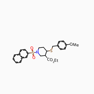 CCOC(=O)C1CN(S(=O)(=O)c2ccc3ccccc3c2)CCC1SCc1ccc(OC)cc1